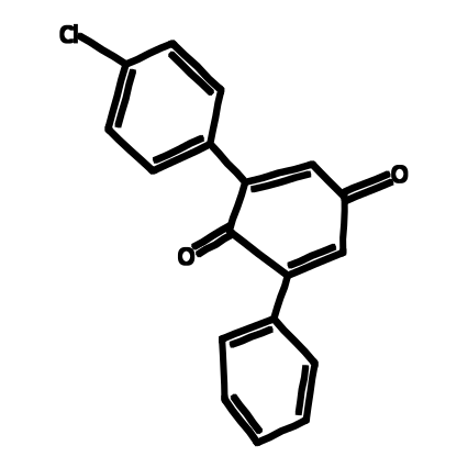 O=C1C=C(c2ccccc2)C(=O)C(c2ccc(Cl)cc2)=C1